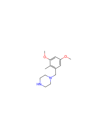 COc1cc(CN2CCNCC2)c(C)c(OC)c1